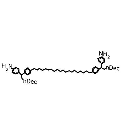 CCCCCCCCCCCC(c1ccc(N)cc1)c1ccc(CCCCCCCCCCCCCCCCCCCCc2ccc(C(CCCCCCCCCCC)c3ccc(N)cc3)cc2)cc1